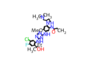 C=CC(=O)Nc1cc(Nc2ncnc(Nc3cc(Cl)c(F)cc3C(C)(O)CC)n2)c(OC)cc1N1CCC1CN(C)C